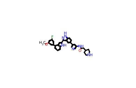 COc1cc(F)cc(-c2cccc3[nH]c(-c4n[nH]c5ccc(-c6cncc(NC(=O)CC7CCNCC7)c6)cc45)cc23)c1